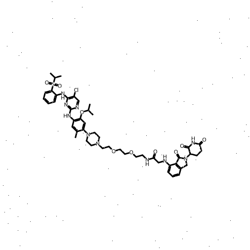 Cc1cc(Nc2ncc(Cl)c(Nc3ccccc3S(=O)(=O)C(C)C)n2)c(OC(C)C)cc1N1CCN(CCOCCOCCNC(=O)CNc2cccc3c2C(=O)N(C2CCC(=O)NC2=O)C3)CC1